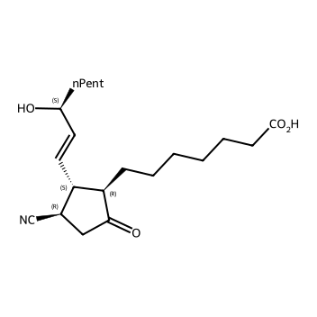 CCCCC[C@H](O)C=C[C@H]1[C@H](C#N)CC(=O)[C@@H]1CCCCCCC(=O)O